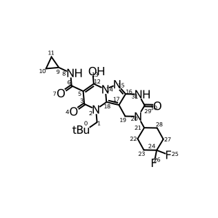 CC(C)(C)Cn1c(=O)c(C(=O)NC2CC2)c(O)n2nc3c(c12)CN(C1CCC(F)(F)CC1)C(=O)N3